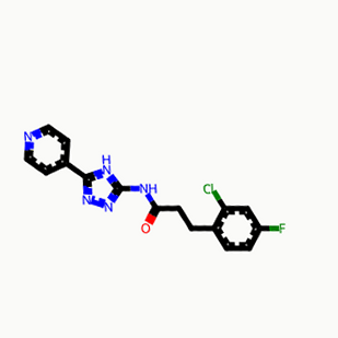 O=C(CCc1ccc(F)cc1Cl)Nc1nnc(-c2ccncc2)[nH]1